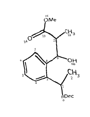 CCCCCCCCCCC(C)c1ccccc1C(O)C(C)C(=O)OC